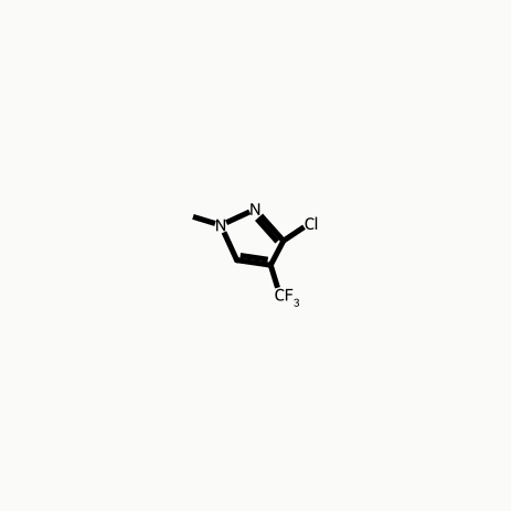 Cn1cc(C(F)(F)F)c(Cl)n1